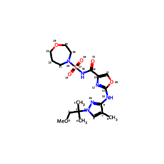 COCC(C)(C)n1cc(C)c(Nc2nc(C(=O)NS(=O)(=O)N3CCCOCC3)co2)n1